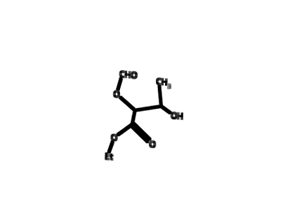 CCOC(=O)C(OC=O)C(C)O